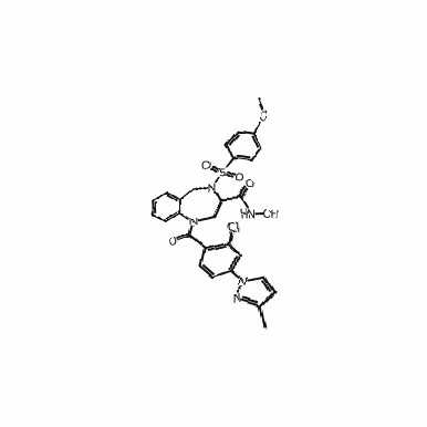 COc1ccc(S(=O)(=O)N2Cc3ccccc3N(C(=O)c3ccc(-n4ccc(C)n4)cc3Cl)CC2C(=O)NO)cc1